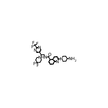 NC1CCN(c2ccc3c(C(=O)NCC(c4cnc(C(F)(F)F)nc4)N4CCC(F)(F)CC4)cccc3n2)CC1